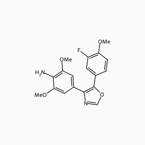 COc1ccc(-c2ocnc2-c2cc(OC)c(N)c(OC)c2)cc1F